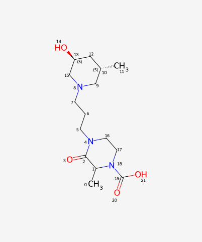 CC1C(=O)N(CCCN2C[C@@H](C)C[C@H](O)C2)CCN1C(=O)O